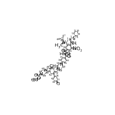 CN(CC[C@H](CSc1ccccc1)Nc1ccc(S(=O)(=O)NC(=O)c2ccc(N3CCN(CC4=C(c5ccc(Cl)cc5)CCC(C)(CN5CCN(C(=O)OC(C)(C)C)CC5)C4)CC3)cc2)cc1[N+](=O)[O-])C1CC1